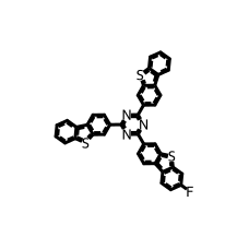 Fc1ccc2c(c1)sc1cc(-c3nc(-c4ccc5c(c4)sc4ccccc45)nc(-c4ccc5c(c4)sc4ccccc45)n3)ccc12